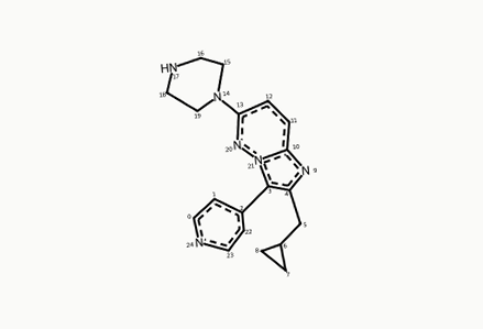 c1cc(-c2c(CC3CC3)nc3ccc(N4CCNCC4)nn23)ccn1